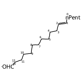 CCCCCC=CCCCCCCCCCC[C]=O